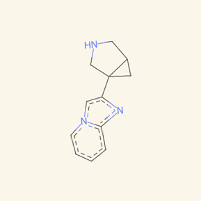 c1ccn2cc(C34CNCC3C4)nc2c1